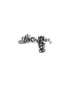 CC(C)(C)OC(=O)N1CCCC1C(=O)N1CCC(CCn2c(Sc3cc4c(cc3Br)OCO4)nc3c(N)ncnc32)CC1